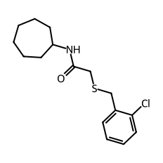 O=C(CSCc1ccccc1Cl)NC1CCCCCC1